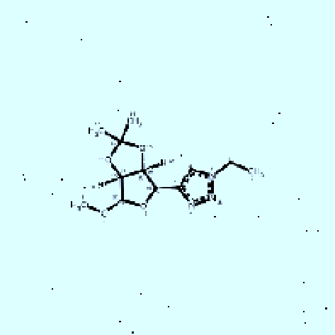 CCn1cc([C@H]2O[C@@H](OC)[C@@H]3OC(C)(C)O[C@@H]32)nn1